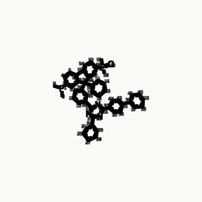 CP(C)c1ccc2c(c1)C(c1ccccc1)(c1cccc(-c3nc(-c4ccccc4)nc(-c4ccc(-c5ccccc5)cc4)n3)c1)c1cc(P(C)(C)=O)ccc1-2